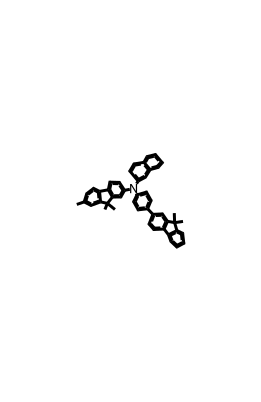 Cc1ccc2c(c1)C(C)(C)c1cc(N(c3ccc(-c4ccc5c(c4)C(C)(C)c4ccccc4-5)cc3)c3ccc4ccccc4c3)ccc1-2